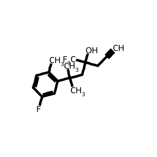 C#CCC(O)(CC(C)(C)c1cc(F)ccc1C)C(F)(F)F